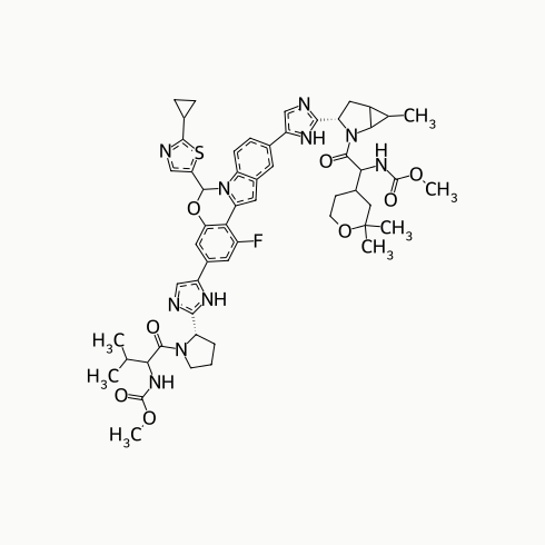 COC(=O)NC(C(=O)N1CCC[C@H]1c1ncc(-c2cc(F)c3c(c2)OC(c2cnc(C4CC4)s2)n2c-3cc3cc(-c4cnc([C@@H]5CC6C(C)C6N5C(=O)C(NC(=O)OC)C5CCOC(C)(C)C5)[nH]4)ccc32)[nH]1)C(C)C